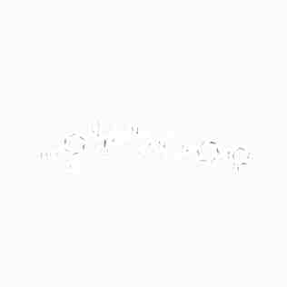 O=C(Nc1ccc(O)c(Cl)c1)[C@@H]1CCN(CC(=O)N2CCN(c3ccc(-n4cccn4)cc3)CC2)C1